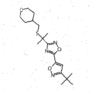 CC(C)(C)c1cc(-c2nc(C(C)(C)SCC3CCOCC3)no2)on1